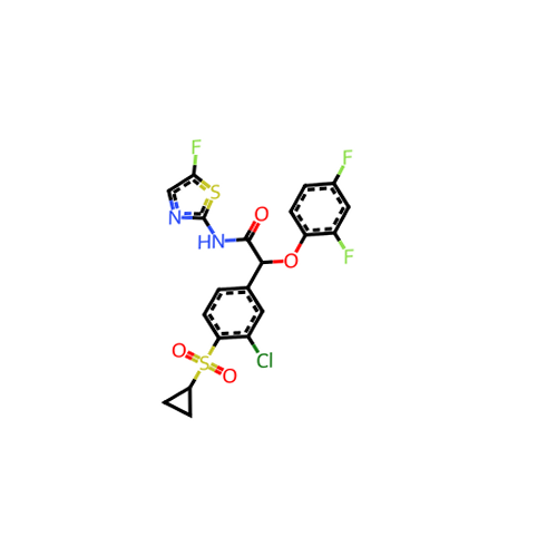 O=C(Nc1ncc(F)s1)C(Oc1ccc(F)cc1F)c1ccc(S(=O)(=O)C2CC2)c(Cl)c1